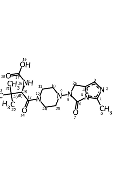 Cc1ncc2n1C(=O)N(N1CCN(C(=O)[C@H](NC(=O)O)C(C)(C)C)CC1)C2